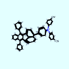 N#Cc1ccc(N(c2ccc(C#N)cc2)c2ccc(-c3ccc4c5c(cccc35)-c3c-4c(-c4ccccc4)c4ccccc4c3-c3ccccc3)cc2)cc1